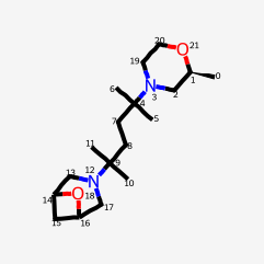 C[C@H]1CN(C(C)(C)CCC(C)(C)N2CC3CC(C2)O3)CCO1